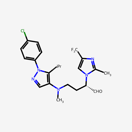 Cc1nc(C(F)(F)F)cn1[C@H](C=O)CCN(C)c1cnn(-c2ccc(Cl)cc2)c1C(C)C